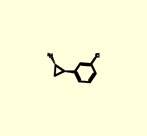 [2H][C@H]1C[C@@H]1c1cccc(Cl)c1